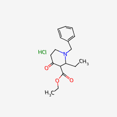 CCOC(=O)C1C(=O)CCN(Cc2ccccc2)C1CC.Cl